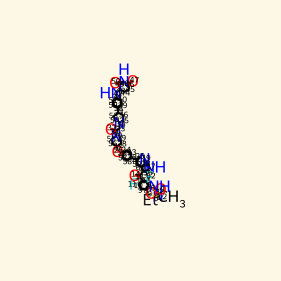 CCN(C)S(=O)(=O)Nc1ccc(F)c(C(=O)c2c[nH]c3ncc(-c4ccc(OC5CCN(C(=O)CN6CCC(c7ccc(NC8CCC(=O)NC8=O)cc7)CC6)CC5)cc4)cc23)c1F